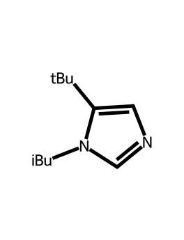 CCC(C)n1cncc1C(C)(C)C